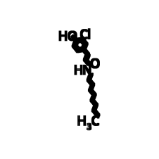 CCCCCCCCCCNC(=O)/C=C/c1ccc(O)c(Cl)c1